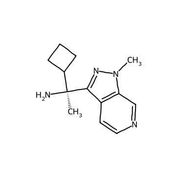 Cn1nc([C@@](C)(N)C2CCC2)c2ccncc21